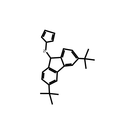 CC(C)(C)c1ccc2c(c1)-c1cc(C(C)(C)C)ccc1[CH]2[Zr][CH]1C=CC=C1